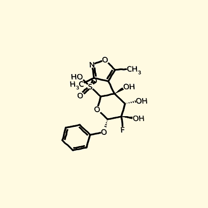 Cc1noc(C)c1[C@@]1(O)C(S(=O)(=O)O)O[C@@H](Oc2ccccc2)[C@@](O)(F)[C@H]1O